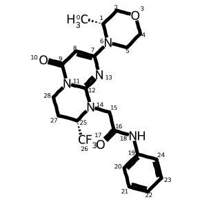 C[C@@H]1COCCN1c1cc(=O)n2c(n1)N(CC(=O)Nc1ccccc1)[C@H](C(F)(F)F)CC2